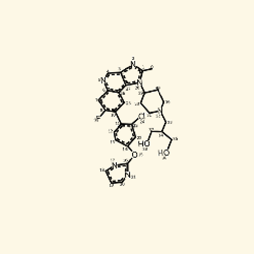 Cc1nc2cnc3cc(F)c(-c4ccc(Oc5ncccn5)cc4Cl)cc3c2n1C1CCN(CC(CO)CO)CC1